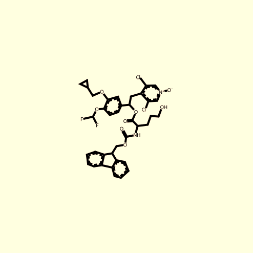 O=C(NC(CCCO)C(=O)OC(Cc1c(Cl)c[n+]([O-])cc1Cl)c1ccc(OC(F)F)c(OCC2CC2)c1)OCC1c2ccccc2-c2ccccc21